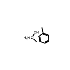 COO.Cc1ccccc1.N